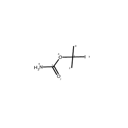 CC(C)(I)OC(N)=O